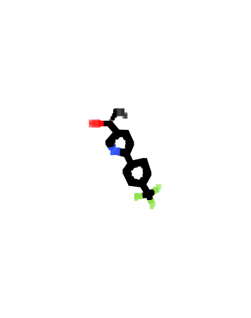 C[C@@H](O)c1ccc(-c2ccc(C(F)(F)F)cc2)nc1